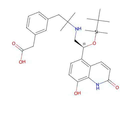 CC(C)(Cc1cccc(CC(=O)O)c1)NC[C@@H](O[Si](C)(C)C(C)(C)C)c1ccc(O)c2[nH]c(=O)ccc12